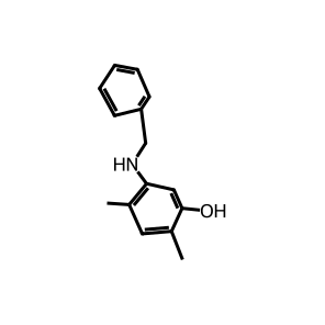 Cc1cc(C)c(NCc2ccccc2)cc1O